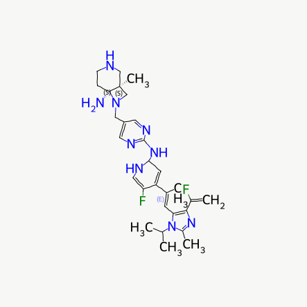 C=C(F)c1nc(C)n(C(C)C)c1/C=C(\C)C1=CC(Nc2ncc(CN3C[C@]4(C)CNCC[C@]34N)cn2)NC=C1F